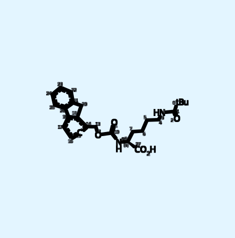 CC(C)(C)C(=O)NCCCC[C@H](NC(=O)OCc1cccc2c1Cc1ccccc1-2)C(=O)O